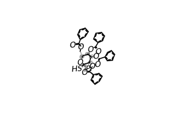 CC(C)[C@]1(S)O[C@H](COC(=O)c2ccccc2)[C@H](OC(=O)c2ccccc2)[C@H](OC(=O)c2ccccc2)[C@H]1OC(=O)c1ccccc1